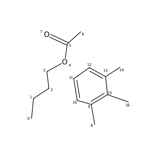 CCCCOC(C)=O.Cc1cccc(C)c1C